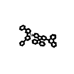 c1ccc(-c2ccc3c(c2)c2cc(-c4ccccc4)ccc2n3-c2ccc3c(c2)C(c2ccccc2)(c2ccccc2)c2cc(-c4cc5ccccc5c5ccccc45)ccc2-3)cc1